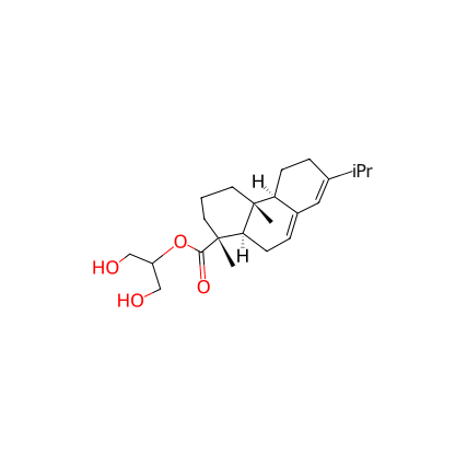 CC(C)C1=CC2=CC[C@@H]3[C@](C)(CCC[C@@]3(C)C(=O)OC(CO)CO)[C@H]2CC1